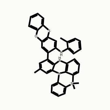 Cc1cc(-c2cc3c(cc2Nc2ccccc2C)Sc2ccccc2O3)c2c(c1)N1c3ccccc3[Si](C)(C)c3cccc(c31)B2